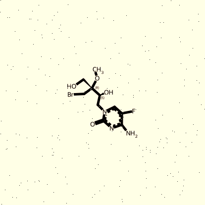 CO[C@@](CO)(CBr)[C@@H](O)Cn1cc(F)c(N)nc1=O